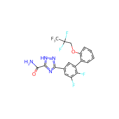 NC(=O)c1nc(-c2cc(F)c(F)c(-c3ccccc3OCC(F)(F)C(F)(F)F)c2)n[nH]1